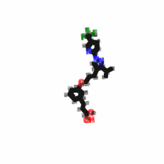 CC(C)c1nn(-c2ccc(C(F)(F)F)cn2)cc1CCCOc1cccc(CCC(=O)O)c1